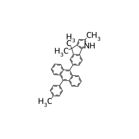 Cc1ccc(-c2c3ccccc3c(-c3ccc4c(c3)C(C)(C)c3cc(C)[nH]c3-4)c3ccccc23)cc1